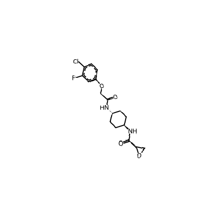 O=C(COc1ccc(Cl)c(F)c1)N[C@H]1CC[C@H](NC(=O)C2CO2)CC1